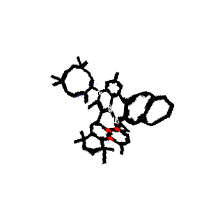 CC1=C(c2cc3c(cc2C2CC2)C(C)(C)CCC3(C)C)B2c3c(cc(C)cc3N1C1=C/CC(C)(C)CCC(C)(C)C/C=C\1C)-c1cc3c(cc1N2c1ccc(C)cc1)CCCC3